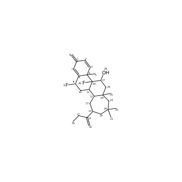 C=C1C=CC2(C)C(=C1)C(F)CC1C3CC(C(=C)CC)CC(C)(C)CC3(C)CC(O)C12F